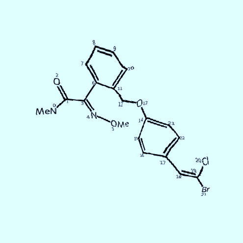 CNC(=O)/C(=N/OC)c1ccccc1COc1ccc(/C=C(\Cl)Br)cc1